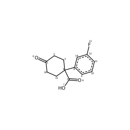 O=C1CCC(C(=O)O)(c2cccc(F)c2)CC1